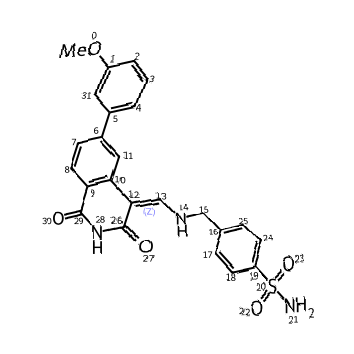 COc1cccc(-c2ccc3c(c2)/C(=C/NCc2ccc(S(N)(=O)=O)cc2)C(=O)NC3=O)c1